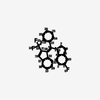 Fc1ccc2c(ccn2C(=C2C(C(F)(F)F)=Cc3ccccc32)c2ccccc2)c1